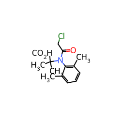 Cc1cccc(C)c1N(C(=O)CCl)C(C)(C)C(=O)O